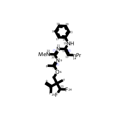 C=C(C)C(C)(CO/C(C)=N/C(=N\C(=C\CCC)Nc1ccccc1)NC)C(F)F